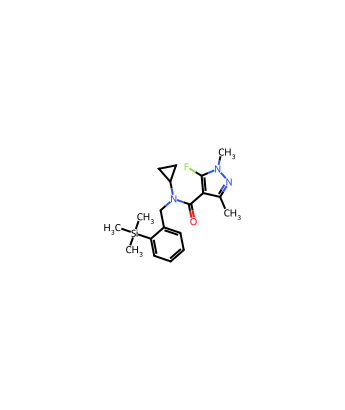 Cc1nn(C)c(F)c1C(=O)N(Cc1ccccc1[Si](C)(C)C)C1CC1